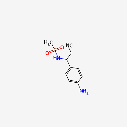 CS(=O)(=O)NC(CC#N)c1ccc(N)cc1